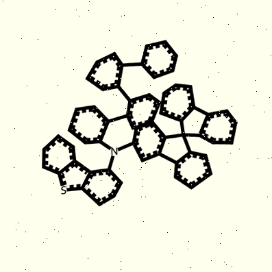 c1ccc(-c2ccccc2-c2ccccc2-c2ccccc2N(c2ccc3c(c2)-c2ccccc2C32c3ccccc3-c3ccccc32)c2cccc3sc4ccccc4c23)cc1